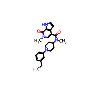 CCc1cccc(N2CCC(N(C)C(=O)c3cn(C)c(=O)c4[nH]ccc34)CC2)c1